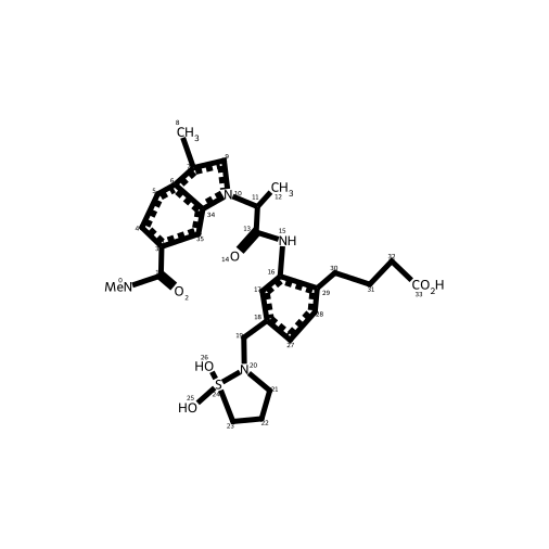 CNC(=O)c1ccc2c(C)cn(C(C)C(=O)Nc3cc(CN4CCCS4(O)O)ccc3CCCC(=O)O)c2c1